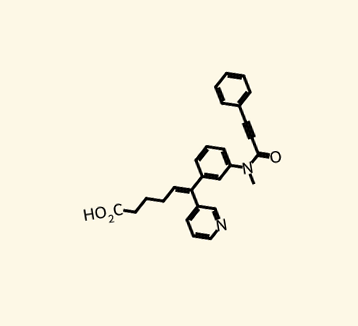 CN(C(=O)C#Cc1ccccc1)c1cccc(/C(=C/CCCC(=O)O)c2cccnc2)c1